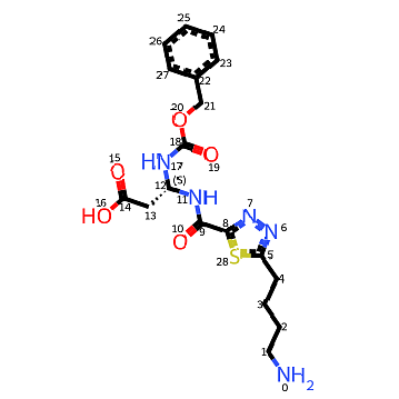 NCCCCc1nnc(C(=O)N[C@H](CC(=O)O)NC(=O)OCc2ccccc2)s1